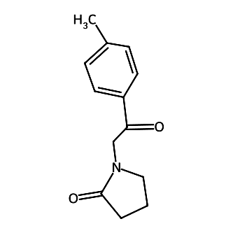 Cc1ccc(C(=O)CN2CCCC2=O)cc1